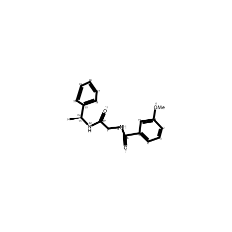 COc1cccc(C(=O)NCC(=O)N[C@@H](C)c2ccccc2)c1